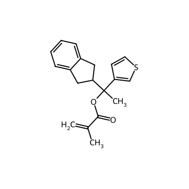 C=C(C)C(=O)OC(C)(c1ccsc1)C1Cc2ccccc2C1